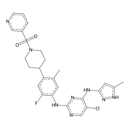 Cc1cc(Nc2nc(Nc3cc(C)c(C4CCN(S(=O)(=O)c5cccnc5)CC4)cc3F)ncc2Cl)n[nH]1